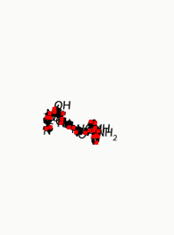 Cc1ncsc1-c1ccc([C@H](C)NC(=O)[C@@H]2C[C@@H](O)CN2C(=O)C(c2cc(N3CCC(C(C)(C)N4CCC(O[C@H]5C[C@H](Oc6cc(N7C8CCC7CN(c7cc(-c9ccccc9O)[nH]c7N)C8)ccn6)C5)CC4)CC3)no2)C(C)C)cc1